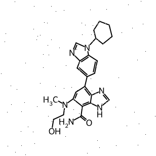 CN(CCO)c1cc(-c2ccc3c(c2)ncn3C2CCCCC2)c2nc[nH]c2c1C(N)=O